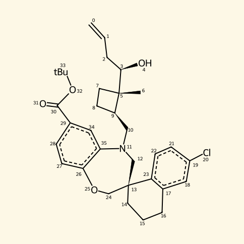 C=CC[C@@H](O)[C@@]1(C)CC[C@@H]1CN1C[C@@]2(CCCc3cc(Cl)ccc32)COc2ccc(C(=O)OC(C)(C)C)cc21